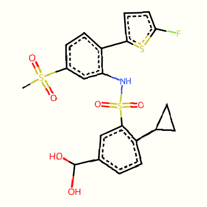 CS(=O)(=O)c1ccc(-c2ccc(F)s2)c(NS(=O)(=O)c2cc(C(O)O)ccc2C2CC2)c1